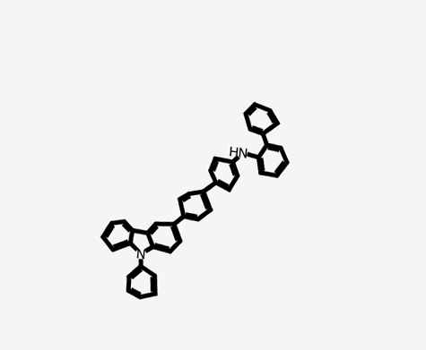 c1ccc(-c2ccccc2Nc2ccc(-c3ccc(-c4ccc5c(c4)c4ccccc4n5-c4ccccc4)cc3)cc2)cc1